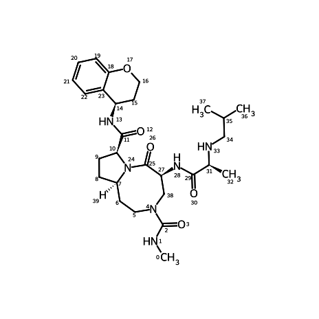 CNC(=O)N1CC[C@H]2CC[C@@H](C(=O)N[C@@H]3CCOc4ccccc43)N2C(=O)[C@@H](NC(=O)[C@H](C)NCC(C)C)C1